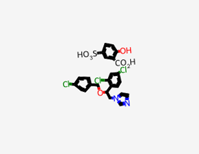 Clc1ccc(COC(Cn2ccnc2)c2ccc(Cl)cc2Cl)cc1.O=C(O)c1cc(S(=O)(=O)O)ccc1O